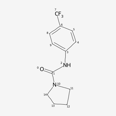 O=C(Nc1ccc(C(F)(F)F)cc1)N1CCCC1